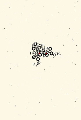 C#C[C@]1(CO[Si](c2ccccc2)(c2ccccc2)C(C)(C)C)O[C@@H](n2cnc3c(NC(c4ccccc4)(c4ccccc4)c4ccc(OC)cc4)nc(F)nc32)C[C@@H]1OC(c1ccccc1)(c1ccccc1)c1ccc(OC)cc1